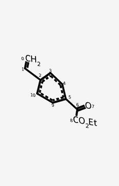 C=Cc1ccc(C(=O)C(=O)OCC)cc1